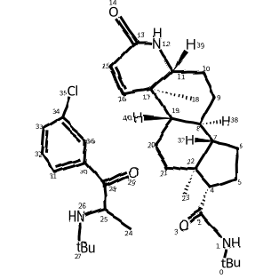 CC(C)(C)NC(=O)[C@H]1CC[C@H]2[C@@H]3CC[C@H]4NC(=O)C=C[C@]4(C)[C@H]3CC[C@]12C.CC(NC(C)(C)C)C(=O)c1cccc(Cl)c1